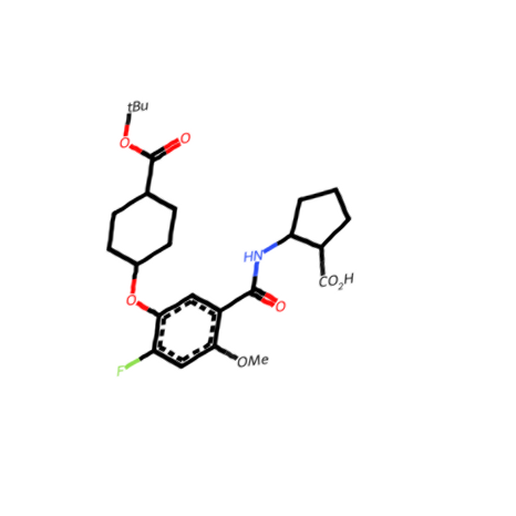 COc1cc(F)c(OC2CCC(C(=O)OC(C)(C)C)CC2)cc1C(=O)NC1CCCC1C(=O)O